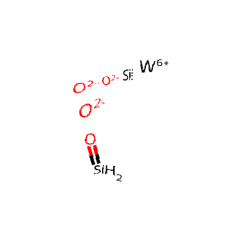 O=[SiH2].[O-2].[O-2].[O-2].[Si].[W+6]